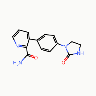 NC(=O)c1ncccc1-c1ccc(N2CCNC2=O)cc1